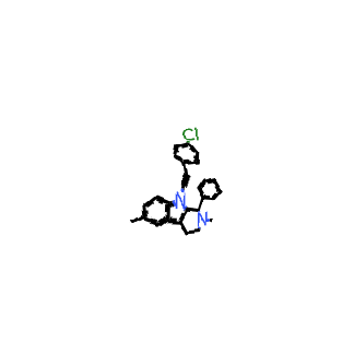 Cc1ccc2c(c1)c1c(n2C#Cc2ccc(Cl)cc2)C(c2ccccc2)N(C)CC1